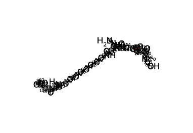 CCc1c2c(nc3ccc(O)cc13)-c1cc3c(c(=O)n1C2)COC(=O)[C@@]3(CC)OC(=O)OCc1ccc(NC(=O)[C@H](CCCCN)NC(=O)COCC(=O)NCCOCCOCCOCCOCCOCCOCCOCCOCCn2cc(CNC(=O)[C@H]3CC[C@H](CN4C(=O)C=CC4=O)CC3)nn2)cc1